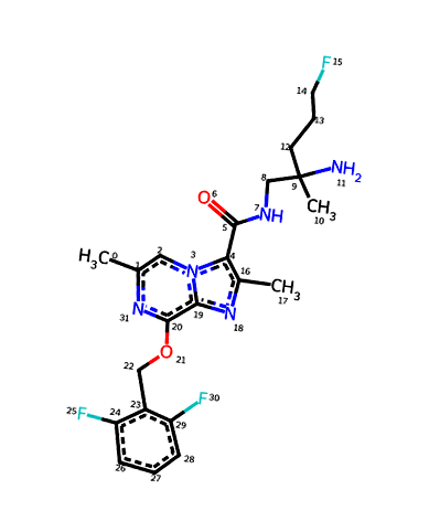 Cc1cn2c(C(=O)NCC(C)(N)CCCF)c(C)nc2c(OCc2c(F)cccc2F)n1